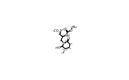 CC(C)(C)OC(=O)NC(CC(=O)O)CN1C(=O)CC[C@H](F)C1O